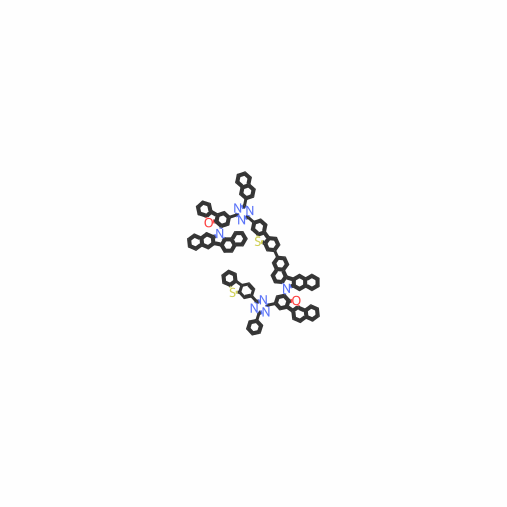 C1=CC2c3ccccc3SC2C=C1c1nc(-c2ccccc2)nc(-c2cc(-n3c4cc5ccccc5cc4c4c5ccc(-c6ccc7c(c6)sc6cc(-c8nc(-c9ccc%10ccccc%10c9)nc(-c9cc(-n%10c%11cc%12ccccc%12cc%11c%11ccc%12ccccc%12c%11%10)c%10oc%11ccccc%11c%10c9)n8)ccc67)cc5ccc43)c3oc4c5ccccc5ccc4c3c2)n1